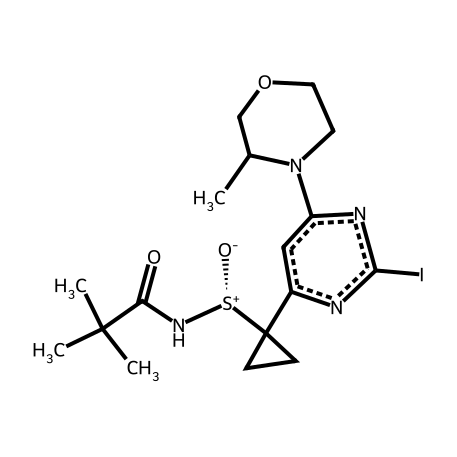 CC1COCCN1c1cc(C2([S@@+]([O-])NC(=O)C(C)(C)C)CC2)nc(I)n1